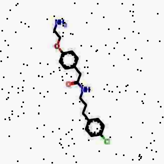 NCCOc1ccc(CC(=O)NCCCc2ccc(Cl)cc2)cc1